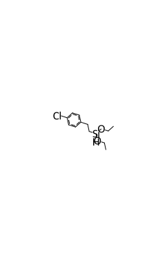 CCO[SiH](CCc1ccc(Cl)cc1)OCC